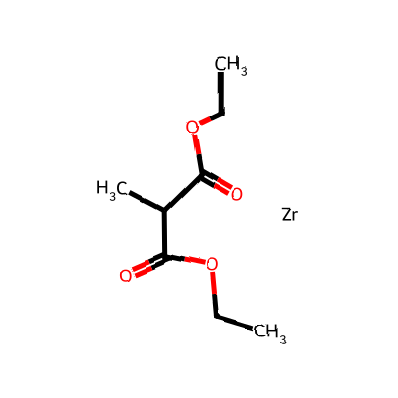 CCOC(=O)C(C)C(=O)OCC.[Zr]